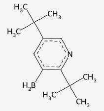 Bc1cc(C(C)(C)C)cnc1C(C)(C)C